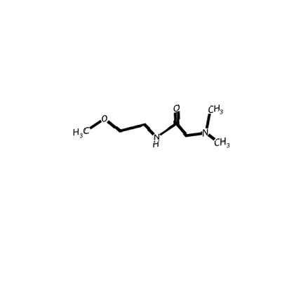 COCCNC(=O)CN(C)C